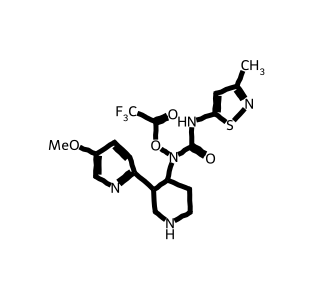 COc1ccc(C2CNCCC2N(OC(=O)C(F)(F)F)C(=O)Nc2cc(C)ns2)nc1